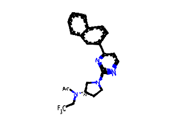 CC(=O)N(CC(F)(F)F)[C@H]1CCN(c2nccc(-c3ccc4ccccc4c3)n2)C1